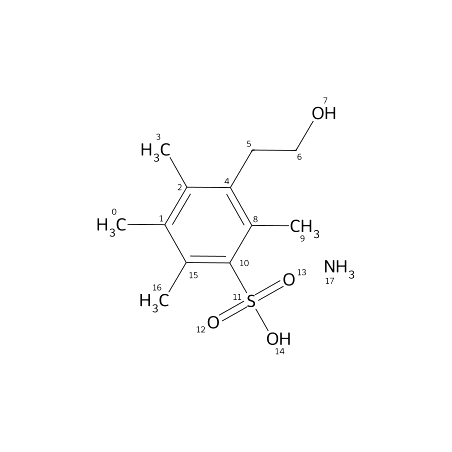 Cc1c(C)c(CCO)c(C)c(S(=O)(=O)O)c1C.N